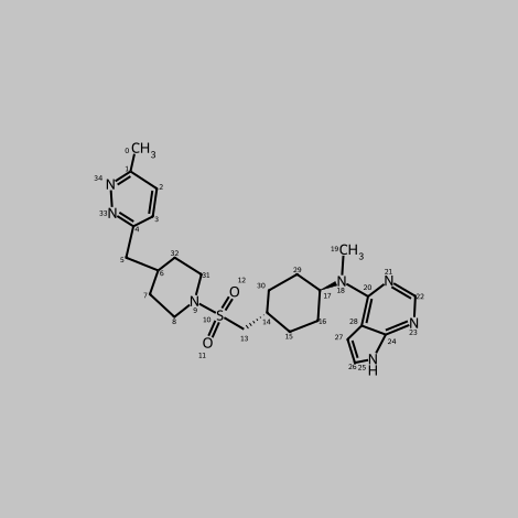 Cc1ccc(CC2CCN(S(=O)(=O)C[C@H]3CC[C@H](N(C)c4ncnc5[nH]ccc45)CC3)CC2)nn1